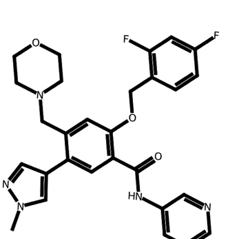 Cn1cc(-c2cc(C(=O)Nc3cccnc3)c(OCc3ccc(F)cc3F)cc2CN2CCOCC2)cn1